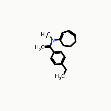 C=C(c1ccc(CC)cc1)N(C)C1=CC=CCCC1